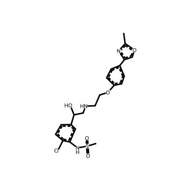 Cc1nc(-c2ccc(OCCNCC(O)c3ccc(Cl)c(NS(C)(=O)=O)c3)cc2)co1